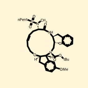 CCCCCS(=O)(=O)N(C)[C@H]1C/C=C\CCO[C@@H]2Cc3ccc(OC)cc3[C@H]2N(C(=O)OC(C)(C)C)C[C@@H](O)[C@H](Cc2ccccc2)NC1=O